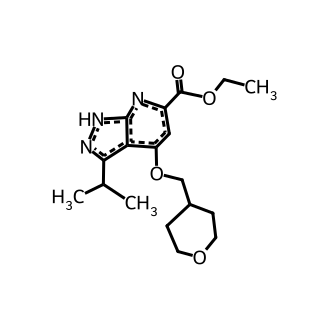 CCOC(=O)c1cc(OCC2CCOCC2)c2c(C(C)C)n[nH]c2n1